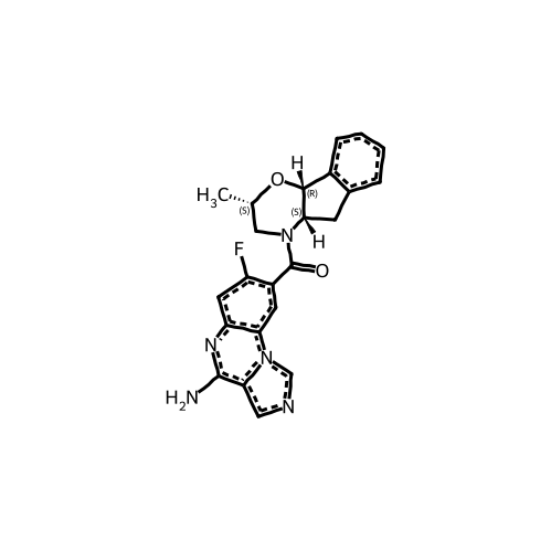 C[C@H]1CN(C(=O)c2cc3c(cc2F)nc(N)c2cncn23)[C@H]2Cc3ccccc3[C@H]2O1